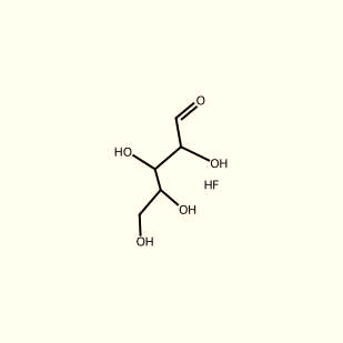 F.O=CC(O)C(O)C(O)CO